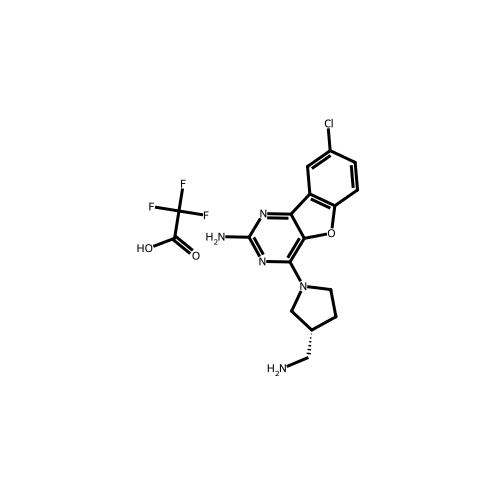 NC[C@H]1CCN(c2nc(N)nc3c2oc2ccc(Cl)cc23)C1.O=C(O)C(F)(F)F